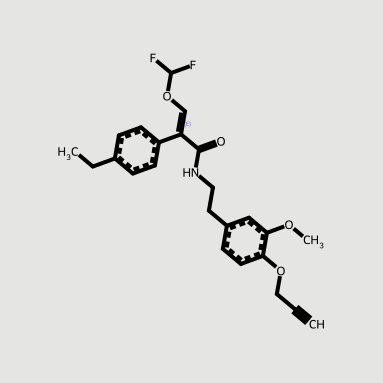 C#CCOc1ccc(CCNC(=O)/C(=C/OC(F)F)c2ccc(CC)cc2)cc1OC